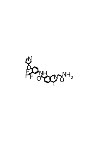 C[C@H]1CN(CC(N)=O)Cc2cc(C(=O)Nc3ccc(OC4CCN(C)C4)c(C(F)(F)F)c3)ccc21